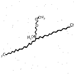 CCCCCCCCCCCCCCCCC(CCCCCCCCCCCCCCCC)N(C)CCCCOCCOC